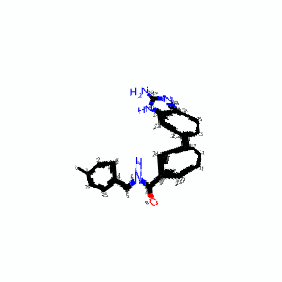 Cc1ccc(CNC(=O)c2cccc(-c3ccc4nc(N)[nH]c4c3)c2)cc1